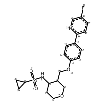 O=S(=O)(NC1CCOCC1COc1ccc(-c2ccc(F)cn2)cc1)C1CC1